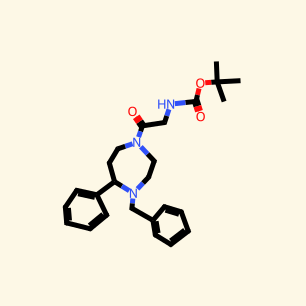 CC(C)(C)OC(=O)NCC(=O)N1CCC(c2ccccc2)N(Cc2ccccc2)CC1